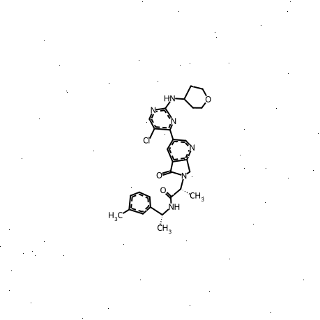 Cc1cccc([C@@H](C)NC(=O)[C@@H](C)N2Cc3ncc(-c4nc(NC5CCOCC5)ncc4Cl)cc3C2=O)c1